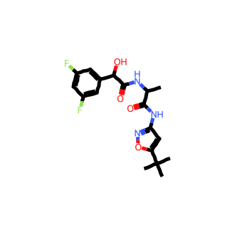 CC(NC(=O)C(O)c1cc(F)cc(F)c1)C(=O)Nc1cc(C(C)(C)C)on1